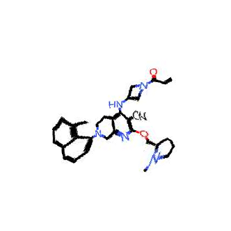 C=CC(=O)N1CC(Nc2c(C#N)c(OC[C@H]3CCCN3C)nc3c2CCN(c2cccc4cccc(C)c24)C3)C1